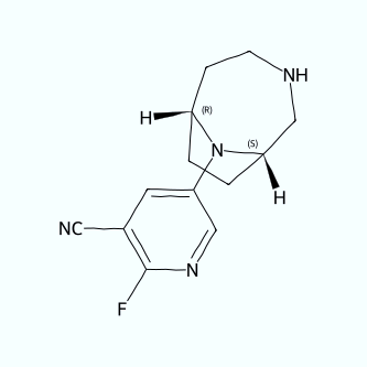 N#Cc1cc(N2[C@H]3CCNC[C@@H]2CC3)cnc1F